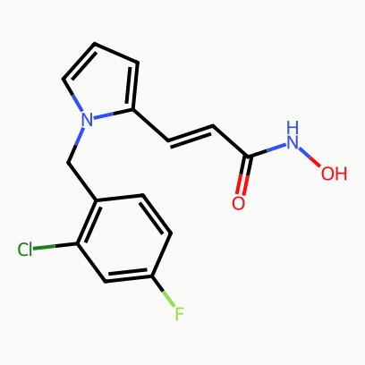 O=C(C=Cc1cccn1Cc1ccc(F)cc1Cl)NO